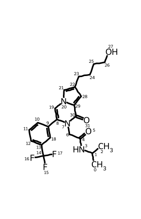 CC(C)NC(=O)Cn1c(-c2cccc(C(F)(F)F)c2)cn2cc(CCCCO)cc2c1=O